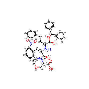 O=C(OC(c1ccccc1)c1ccccc1)[C@H](CCc1ccccc1)N[C@H]1Cc2c(cccc2[N+](=O)[O-])[C@H]2COC[C@@H](C(=O)O)N2C1=O